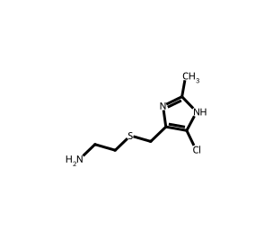 Cc1nc(CSCCN)c(Cl)[nH]1